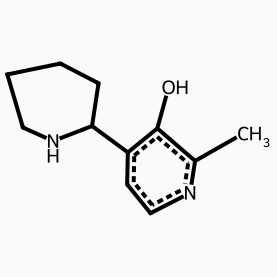 Cc1nccc(C2CCCCN2)c1O